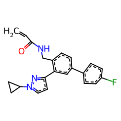 C=CC(=O)NCc1ccc(-c2ccc(F)cc2)cc1-c1ccn(C2CC2)n1